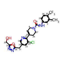 Cc1cc(NC(=O)N2CC=C(c3ncc(Cc4nnc(CO)o4)cc3Cl)CC2)ccc1C(F)(F)F